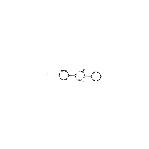 COc1ccc(-c2nnc(-c3ccccc3)c(=O)o2)cc1